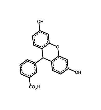 O=C(O)c1cccc(C2c3ccc(O)cc3Oc3cc(O)ccc32)c1